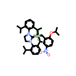 CC(C)Oc1ccc([N+](=O)[O-])cc1[CH]=[Ru-4]([Cl])([Cl])=[C]1N(c2c(C(C)C)cccc2C(C)C)CCN1c1c(C(C)C)cccc1C(C)C